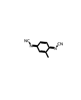 CC1=CC(=N/C#N)/C=CC/1=N\C#N